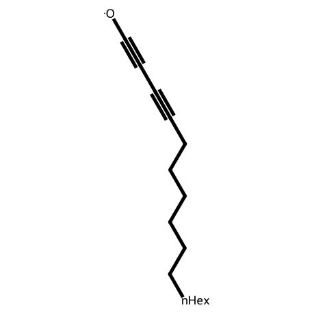 CCCCCCCCCCCCC#CC#C[O]